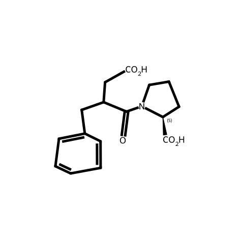 O=C(O)CC(Cc1ccccc1)C(=O)N1CCC[C@H]1C(=O)O